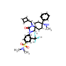 CN[C@]1(c2ccccc2)CC[C@@]2(CC1)CN(c1ccc(S(=O)(=O)N(C)C)cc1C(F)(F)F)C(=O)N2CC1CCC1